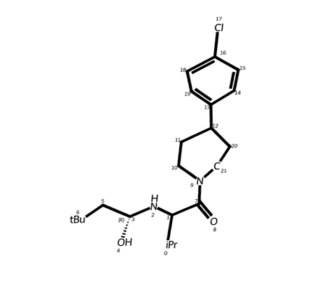 CC(C)C(N[C@H](O)CC(C)(C)C)C(=O)N1CCC(c2ccc(Cl)cc2)CC1